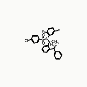 [CH2]C(c1ccccc1)c1ccccc1[C@@H](C)N(c1cc(F)ccc1F)S(=O)(=O)c1ccc(Cl)cc1